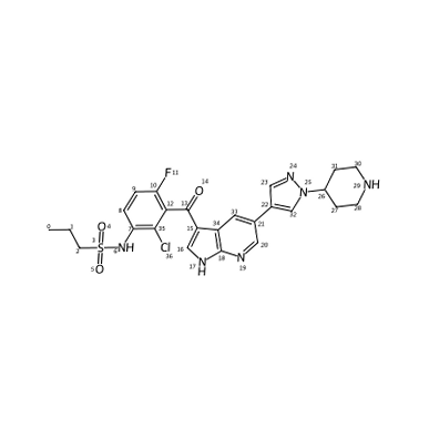 CCCS(=O)(=O)Nc1ccc(F)c(C(=O)c2c[nH]c3ncc(-c4cnn(C5CCNCC5)c4)cc23)c1Cl